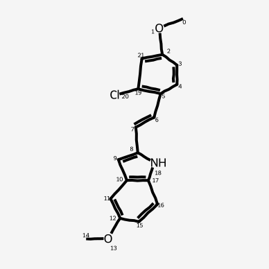 COc1ccc(C=Cc2cc3cc(OC)ccc3[nH]2)c(Cl)c1